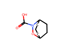 O=C(O)N1OC2CCCC1CC2